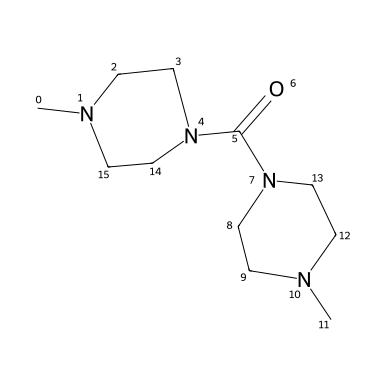 CN1CCN(C(=O)N2CCN(C)CC2)CC1